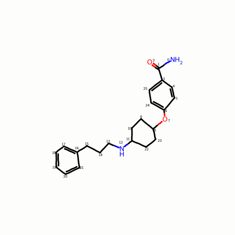 NC(=O)c1ccc(OC2CCC(NCCCc3ccccc3)CC2)cc1